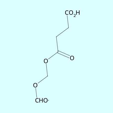 O=[C]OCOC(=O)CCC(=O)O